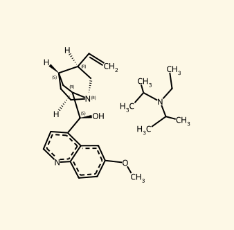 C=C[C@H]1C[N@]2CC[C@H]1C[C@@H]2[C@@H](O)c1ccnc2ccc(OC)cc12.CCN(C(C)C)C(C)C